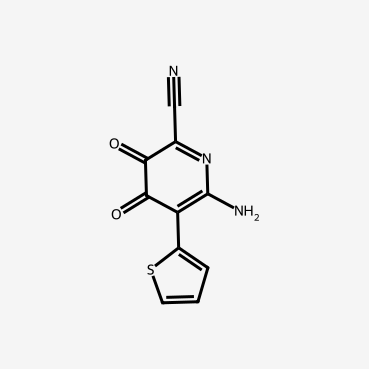 N#CC1=NC(N)=C(c2cccs2)C(=O)C1=O